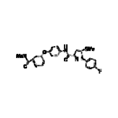 CNC(=O)c1cc(Oc2ccc(NC(=O)c3cc(SC)n(-c4ccc(F)cc4)n3)cc2)ccn1